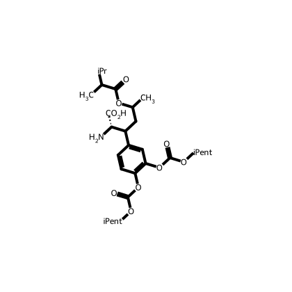 CCCC(C)OC(=O)Oc1ccc(C(CC(C)OC(=O)C(C)C(C)C)[C@H](N)C(=O)O)cc1OC(=O)OC(C)CCC